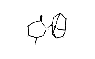 O=C1CCCC(O)CN1C12CC3CC(CC(C3)C1)C2